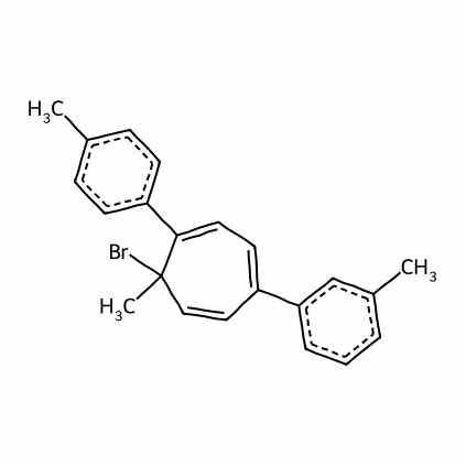 Cc1ccc(C2=CC=C(c3cccc(C)c3)C=CC2(C)Br)cc1